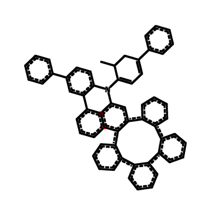 CC1CC(c2ccccc2)=CC=C1N(c1ccc2c3ccccc3c3ccccc3c3ccccc3c3ccccc3c2c1)c1ccc(-c2ccccc2)cc1-c1ccccc1